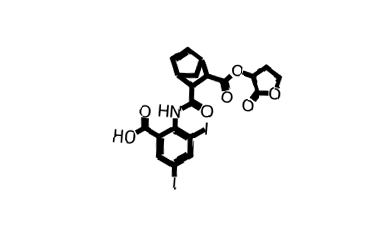 O=C(O)c1cc(I)cc(I)c1NC(=O)C1C2C=CC(C2)C1C(=O)OC1CCOC1=O